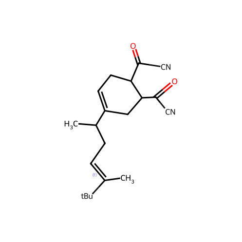 C/C(=C\CC(C)C1=CCC(C(=O)C#N)C(C(=O)C#N)C1)C(C)(C)C